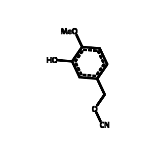 COc1ccc(COC#N)cc1O